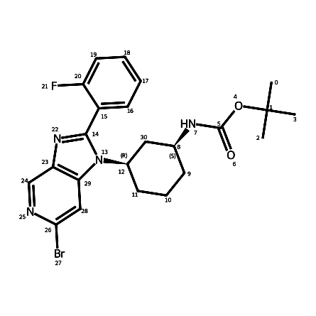 CC(C)(C)OC(=O)N[C@H]1CCC[C@@H](n2c(-c3ccccc3F)nc3cnc(Br)cc32)C1